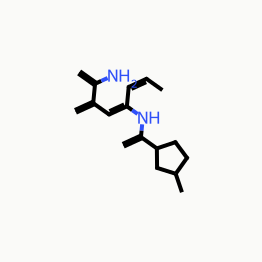 C=C(N)C(=C)/C=C(\C=C/C)NC(=C)C1CCC(C)C1